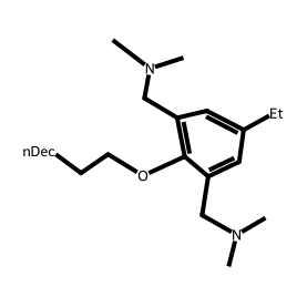 CCCCCCCCCCCCOc1c(CN(C)C)cc(CC)cc1CN(C)C